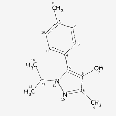 Cc1ccc(-c2c(O)c(C)nn2C(C)C)cc1